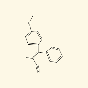 COc1ccc(/C(=C(\C)C#N)c2ccccc2)cc1